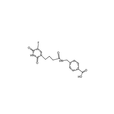 O=C(CCCn1cc(F)c(=O)[nH]c1=O)NCc1ccc(C(=O)O)cc1